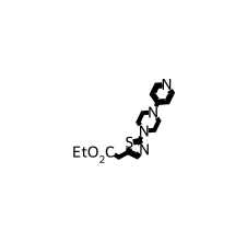 CCOC(=O)Cc1cnc(N2CCN(c3ccncc3)CC2)s1